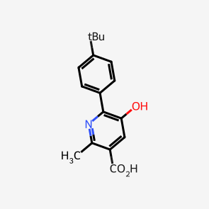 Cc1nc(-c2ccc(C(C)(C)C)cc2)c(O)cc1C(=O)O